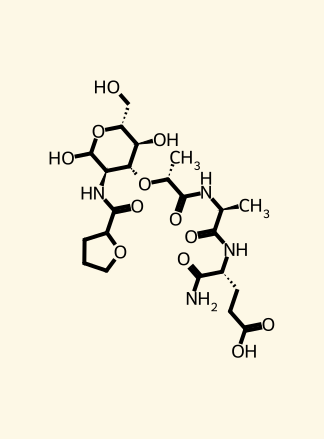 C[C@H](NC(=O)[C@@H](C)O[C@H]1[C@H](O)[C@@H](CO)OC(O)[C@@H]1NC(=O)C1CCCO1)C(=O)N[C@H](CCC(=O)O)C(N)=O